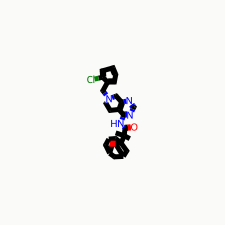 CC(C)(C(=O)Nc1ncnc2c1CCN(Cc1ccccc1Cl)C2)C12CC3CC(CC(C3)C1)C2